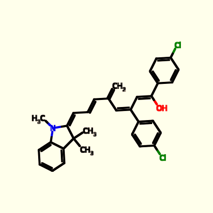 C=C(/C=C/C=C1/N(C)c2ccccc2C1(C)C)/C=C(\C=C(/O)c1ccc(Cl)cc1)c1ccc(Cl)cc1